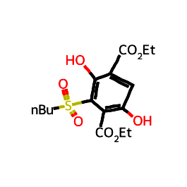 CCCCS(=O)(=O)c1c(O)c(C(=O)OCC)cc(O)c1C(=O)OCC